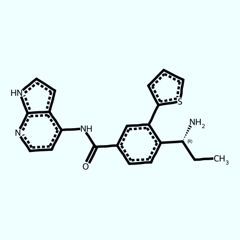 CC[C@@H](N)c1ccc(C(=O)Nc2ccnc3[nH]ccc23)cc1-c1cccs1